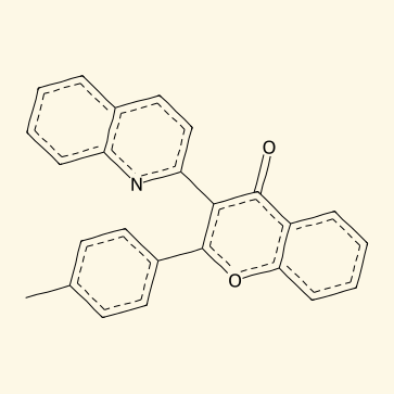 Cc1ccc(-c2oc3ccccc3c(=O)c2-c2ccc3ccccc3n2)cc1